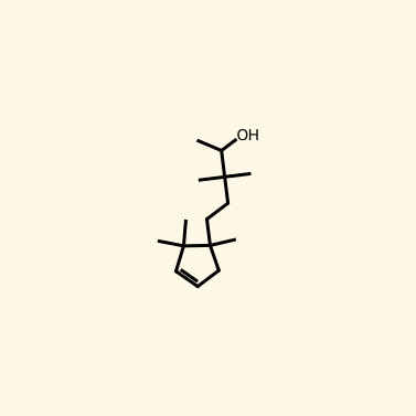 CC(O)C(C)(C)CCC1(C)CC=CC1(C)C